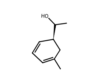 CC1=CC=C[C@@H](C(C)O)C1